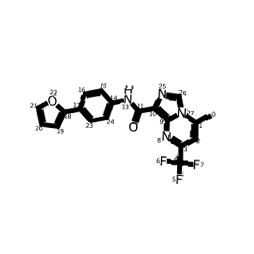 Cc1cc(C(F)(F)F)nc2c(C(=O)Nc3ccc(-c4ccco4)cc3)ncn12